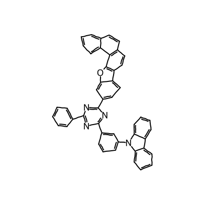 c1ccc(-c2nc(-c3cccc(-n4c5ccccc5c5ccccc54)c3)nc(-c3ccc4c(c3)oc3c4ccc4ccc5ccccc5c43)n2)cc1